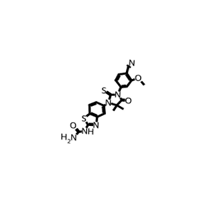 COc1cc(N2C(=O)C(C)(C)N(c3ccc4sc(NC(N)=O)nc4c3)C2=S)ccc1C#N